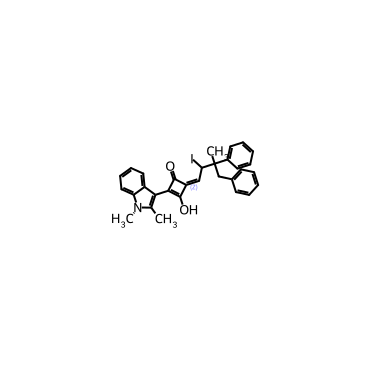 Cc1c(C2=C(O)/C(=C/C(I)C(C)(Cc3ccccc3)c3ccccc3)C2=O)c2ccccc2n1C